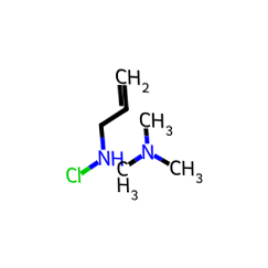 C=CCNCl.CN(C)C